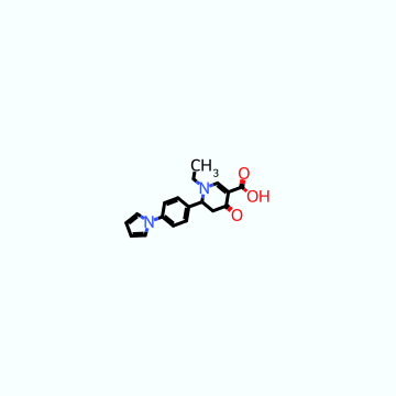 CCN1C=C(C(=O)O)C(=O)CC1c1ccc(-n2cccc2)cc1